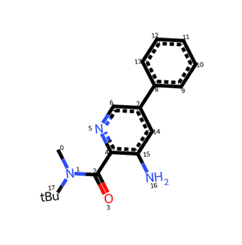 CN(C(=O)c1ncc(-c2ccccc2)cc1N)C(C)(C)C